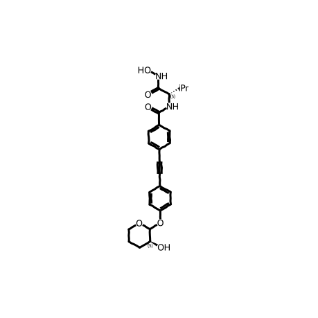 CC(C)[C@H](NC(=O)c1ccc(C#Cc2ccc(OC3OCCC[C@@H]3O)cc2)cc1)C(=O)NO